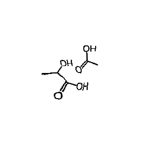 CC(=O)O.CC(O)C(=O)O